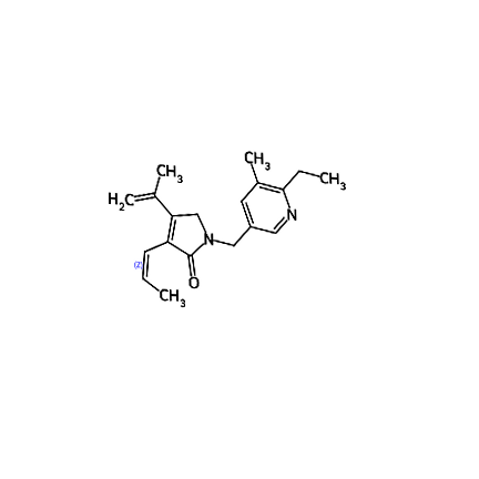 C=C(C)C1=C(/C=C\C)C(=O)N(Cc2cnc(CC)c(C)c2)C1